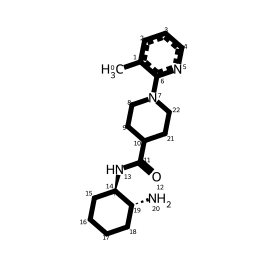 Cc1cccnc1N1CCC(C(=O)N[C@@H]2CCCC[C@H]2N)CC1